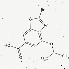 CC(C)Oc1cc(C(=O)O)cc2sc(Br)nc12